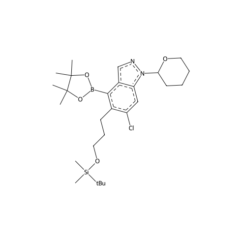 CC1(C)OB(c2c(CCCO[Si](C)(C)C(C)(C)C)c(Cl)cc3c2cnn3C2CCCCO2)OC1(C)C